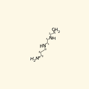 C=CCNCCNCCCN